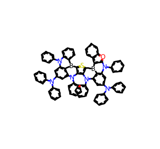 c1ccc(N(c2ccccc2)c2cc3c4c(c2)N(c2ccccc2)c2c(sc5c2N(c2ccccc2)c2cc(N(c6ccccc6)c6ccccc6)cc6c2B5c2c(oc5ccccc25)N6c2ccccc2)B4c2ccccc2N3c2ccccc2)cc1